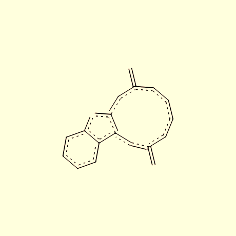 C=c1ccccc(=C)cc2c(c1)oc1ccccc12